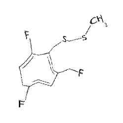 CSSc1c(F)cc(F)cc1F